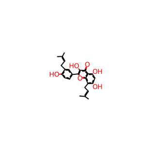 CC(C)=CCc1cc(-c2oc3c(CC=C(C)C)c(O)cc(O)c3c(=O)c2O)ccc1O